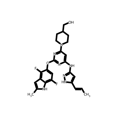 C/C=C/c1cc(Nc2cc(N3CCC(CO)CC3)nc(Oc3cc(F)c4[nH]c(C)cc4c3F)n2)n[nH]1